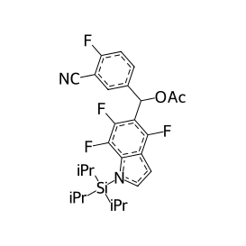 CC(=O)OC(c1ccc(F)c(C#N)c1)c1c(F)c(F)c2c(ccn2[Si](C(C)C)(C(C)C)C(C)C)c1F